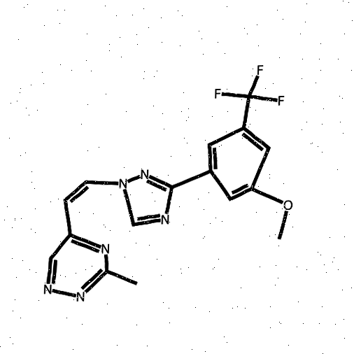 COc1cc(-c2ncn(/C=C\c3cnnc(C)n3)n2)cc(C(F)(F)F)c1